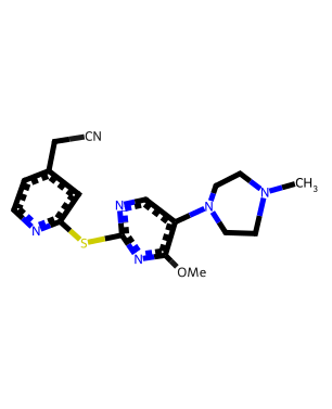 COc1nc(Sc2cc(CC#N)ccn2)ncc1N1CCN(C)CC1